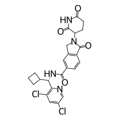 O=C1CCC(N2Cc3cc(C(=O)N[C@H](c4ncc(Cl)cc4Cl)C4CCC4)ccc3C2=O)C(=O)N1